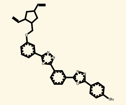 C=CC1CC(C=C)C(COc2cccc(-c3nnc(-c4cccc(-c5nnc(-c6ccc(C(C)(C)C)cc6)o5)c4)o3)c2)C1